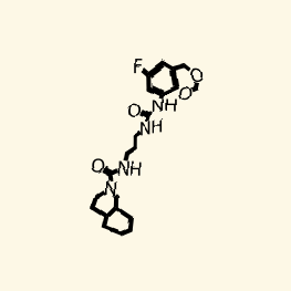 O=C(NCCCNC(=O)N1CCC2CCCCC2C1)Nc1cc(F)cc2c1OCOC2